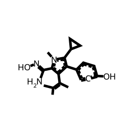 CC(C)=C(C)c1c(-c2ccc(O)cc2)c(C2CC2)n(C)c1/C(N)=N/O